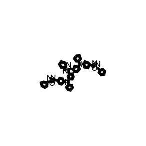 c1ccc(-c2nnc(-c3ccc(N(c4ccccc4)c4cccc(-c5nc6ccccc6nc5-c5cccc(N(c6ccccc6)c6ccc(-c7nnc(-c8ccccc8)o7)cc6)c5)c4)cc3)o2)cc1